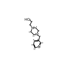 OCCN1CCN(Cc2cc[c]nc2)CC1